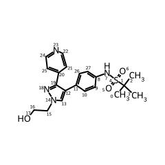 CC(C)(C)S(=O)(=O)Nc1ccc(-c2cn(CCO)nc2-c2ccncc2)cc1